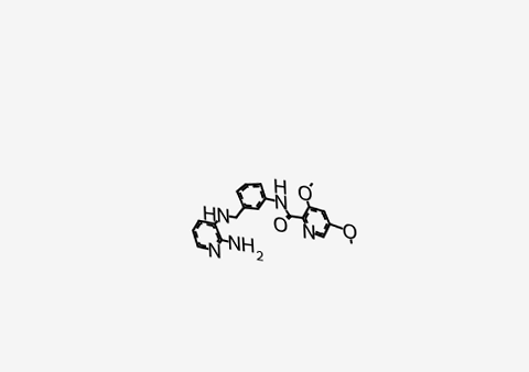 COc1cnc(C(=O)Nc2cccc(CNc3cccnc3N)c2)c(OC)c1